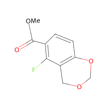 COC(=O)c1ccc2c(c1F)COCO2